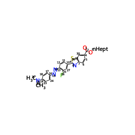 CCCCCCCOC(=O)c1ccc2nc(-c3ccc(/N=N/c4ccc(N(C)C)cc4)c(F)c3)sc2c1